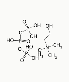 C[N+](C)(C)CCO.O=P(O)(O)OP(=O)(O)OP(=O)(O)O